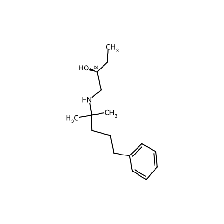 CC[C@H](O)CNC(C)(C)CCCc1ccccc1